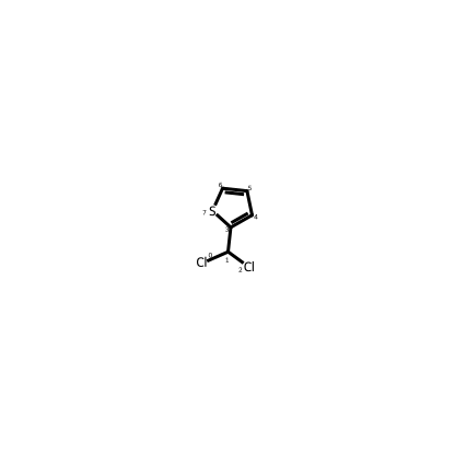 ClC(Cl)c1cccs1